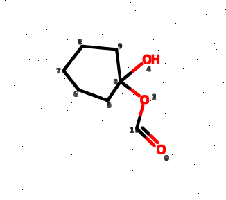 O=[C]OC1(O)CCCCC1